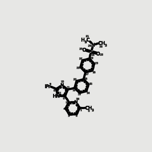 Cc1cccc(-c2[nH]c(C(C)C)nc2-c2cccc(-c3ccc(S(=O)(=O)N(C)C)cc3)c2)n1